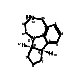 c1cc2c3c(c1)[C@H]1CCC[C@H]1N3CCNC2